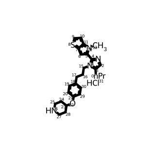 CCCc1cnc(-c2cc3sccc3n2C)n1CCCc1ccc(OC2CCNCC2)cc1.Cl